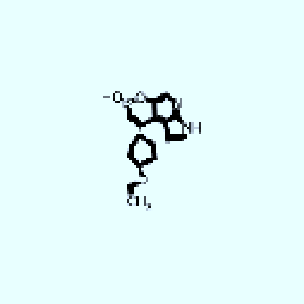 CCO[C@H]1CC[C@H](C2=CB(O)Oc3cnc4[nH]ccc4c32)CC1